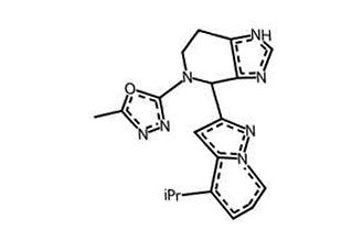 Cc1nnc(N2CCc3[nH]cnc3C2c2cc3c(C(C)C)cccn3n2)o1